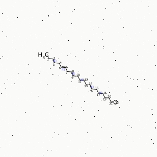 CC/C=C/C/C=C/C/C=C/C/C=C/C/C=C/C/C=C/CCC=O